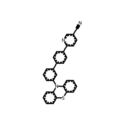 N#Cc1ccc(-c2ccc(-c3cccc(N4c5ccccc5Sc5ccccc54)c3)cc2)nc1